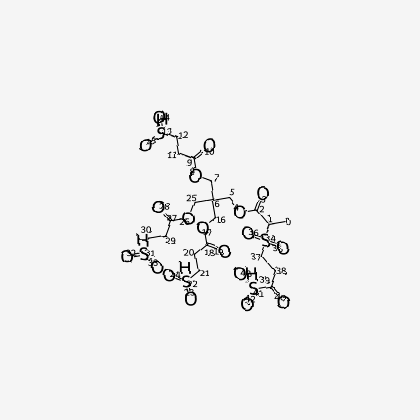 CC(C(=O)OCC(COC(=O)CC[SH](=O)=O)(COC(=O)CC[SH](=O)=O)COC(=O)CC[SH](=O)=O)S(=O)(=O)CCC(=O)[SH](=O)=O